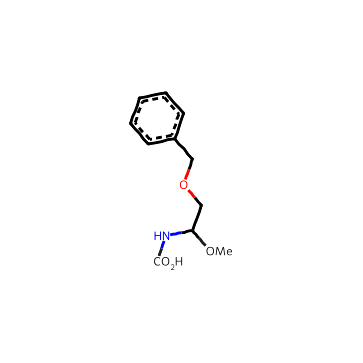 COC(COCc1ccccc1)NC(=O)O